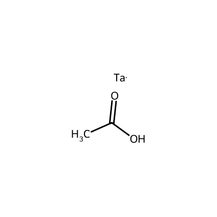 CC(=O)O.[Ta]